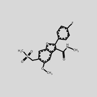 CNC(=O)c1c(-c2ccc(F)cc2)oc2cc(CS(C)(=O)=O)c(OC)cc12